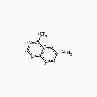 Nc1ccc2ncnc(C(F)(F)F)c2c1